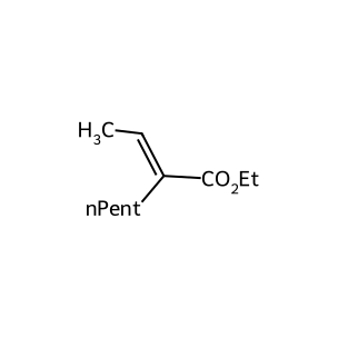 C/C=C(\CCCCC)C(=O)OCC